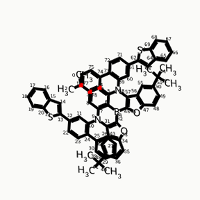 CC(C)c1cc2c3c(c1)N(c1cc(-c4cc5ccccc5s4)ccc1-c1ccccc1)c1c(oc4ccc(C(C)(C)C)cc14)B3c1oc3ccc(C(C)(C)C)cc3c1N2c1cc(-c2cc3ccccc3s2)ccc1-c1ccccc1